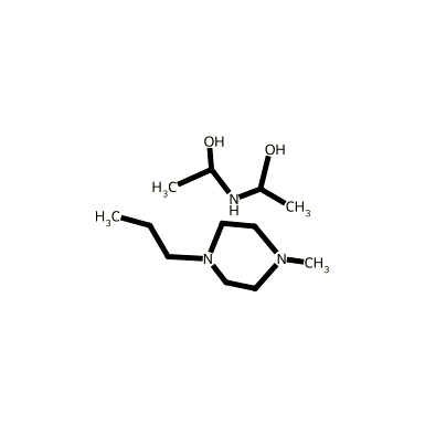 CC(O)NC(C)O.CCCN1CCN(C)CC1